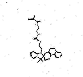 C=C(C)C(=O)OCCNC(=O)OCCN1c2ccccc2C(C)(C)C12C=Nc1c(ccc3ccccc13)O2